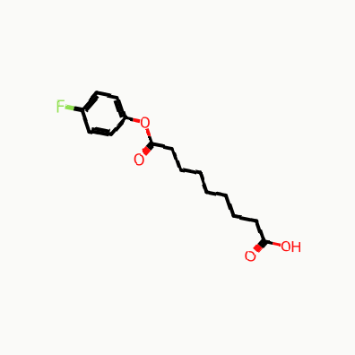 O=C(O)CCCCCCCC(=O)Oc1ccc(F)cc1